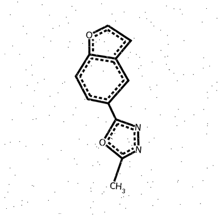 Cc1nnc(-c2ccc3occc3c2)o1